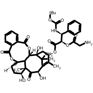 CC1=C2[C@@H](O)C(=O)[C@@]3(C)C4[C@H](OC(=O)c5ccccc5C(=O)O[C@]45CO[C@@H]5C[C@@H]3O)[C@](O)(C[C@@H]1OC(=O)[C@H](OC(=O)CN)[C@@H](NC(=O)OC(C)(C)C)c1ccccc1)C2(C)C